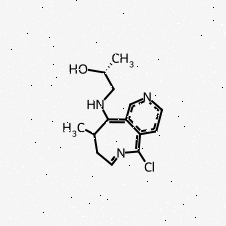 CC1C/C=N/C(Cl)=c2/ccnc/c2=C/1NC[C@@H](C)O